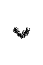 CCc1cccc(C(O)(C(=O)N2CCC(C)(CC3CCN(c4ccc(C(=O)N(C)C)c(C)c4)CC3)CC2)C(F)(F)F)c1